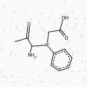 CC(=O)C(N)N(CC(=O)O)c1ccccc1